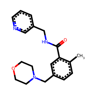 Cc1ccc(CN2CCOCC2)cc1C(=O)NCc1cccnc1